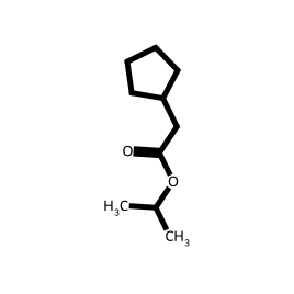 CC(C)OC(=O)CC1CCCC1